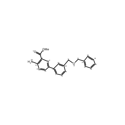 COC(=O)c1nc(-c2cccc(COCc3ccccc3)c2)cnc1N